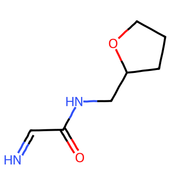 N=CC(=O)NCC1CCCO1